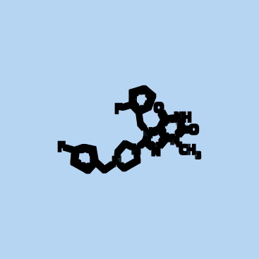 Cn1c(=O)[nH]c(=O)c2c1nc(N1CCN(Cc3ccc(F)cc3)CC1)n2Cc1ccccc1F